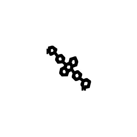 c1cncc(-c2ccc(-c3c4ccccc4c(-c4ccc(-c5cccnc5)cc4)c4ccccc34)cc2)c1